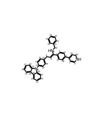 C1=CC(c2ccc(/C(=C/Cc3ccc(-n4c5ccccc5c5ccccc54)cc3)NCc3ccccc3)cc2)=CCN1